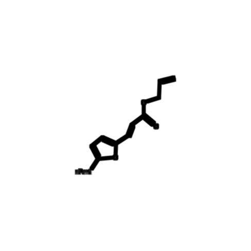 C=CCOC(=O)/C=C/c1ccc(CCCCC)o1